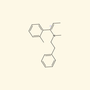 C/C=C(/c1ccccc1C)N(C)CCc1ccccc1